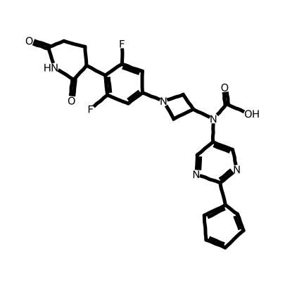 O=C1CCC(c2c(F)cc(N3CC(N(C(=O)O)c4cnc(-c5ccccc5)nc4)C3)cc2F)C(=O)N1